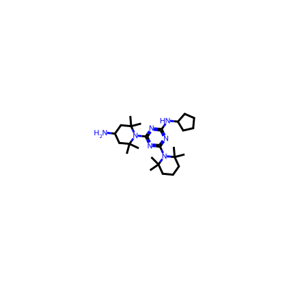 CC1(C)CCCC(C)(C)N1c1nc(NC2CCCC2)nc(N2C(C)(C)CC(N)CC2(C)C)n1